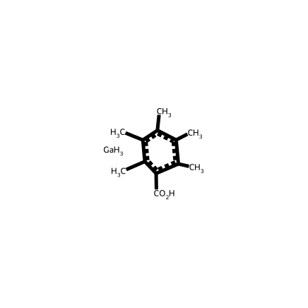 Cc1c(C)c(C)c(C(=O)O)c(C)c1C.[GaH3]